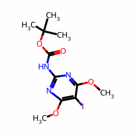 COc1nc(NC(=O)OC(C)(C)C)nc(OC)c1I